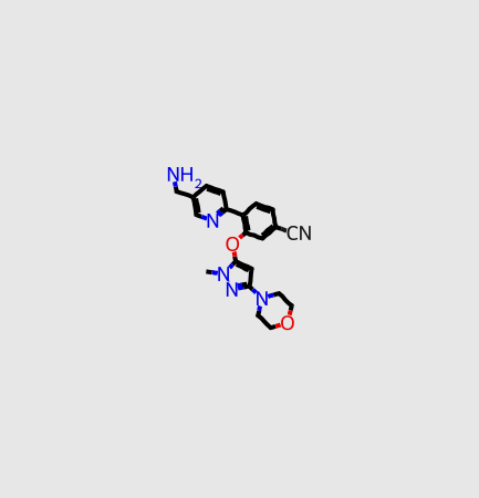 Cn1nc(N2CCOCC2)cc1Oc1cc(C#N)ccc1-c1ccc(CN)cn1